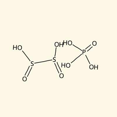 O=P(O)(O)O.O=S(O)S(=O)O